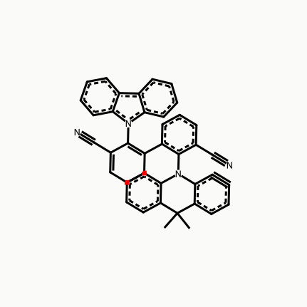 CC1(C)c2ccc#cc2N(c2c(C#N)cccc2C2=C(n3c4ccccc4c4ccccc43)C(C#N)=CCC2)c2ccccc21